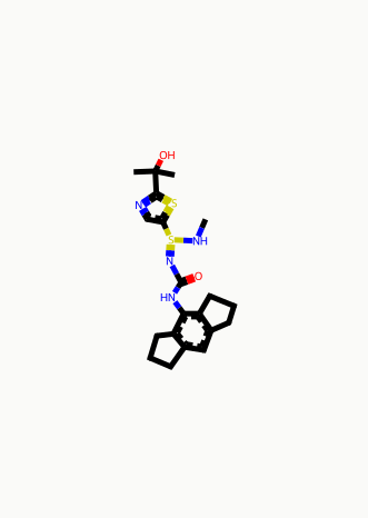 CN/S(=N\C(=O)Nc1c2c(cc3c1CCC3)CCC2)c1cnc(C(C)(C)O)s1